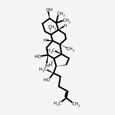 CC(=O)[C@@]1(O)C[C@@H]2[C@@]3(C)CC[C@@H](O)C(C)(C)[C@@H]3CC[C@@]2(C)[C@]2(C)CC[C@H]([C@@](C)(O)CCC=C(C)C)[C@@H]12